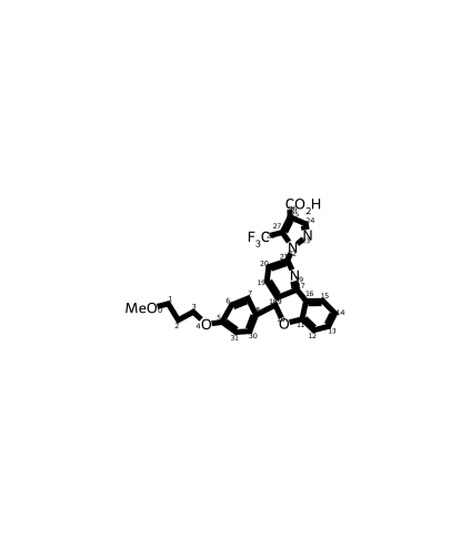 COCCCOc1ccc(COc2ccccc2-c2cccc(-n3ncc(C(=O)O)c3C(F)(F)F)n2)cc1